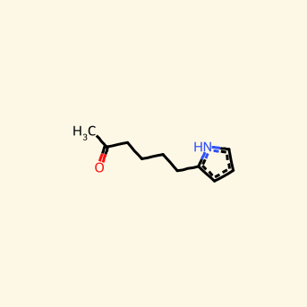 CC(=O)CCCCc1ccc[nH]1